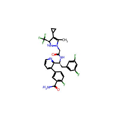 CC1=C(C2CC2)C(C(F)(F)F)NN1CC(=O)N[C@@H](Cc1cc(F)cc(F)c1)c1ncccc1-c1ccc(F)c(C(N)=O)c1